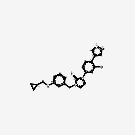 CCc1cc(-n2ccn(Cc3cccc(OCC4CC4)c3)c2=O)ccc1-c1cn[nH]c1